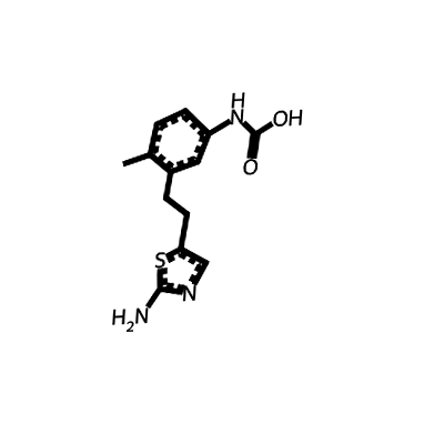 Cc1ccc(NC(=O)O)cc1CCc1cnc(N)s1